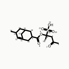 CC(=O)CC(F)(OC(=O)C1CC2=CC(C)CC(C2)C1)S(=O)(=O)O